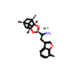 Cc1cccc2c(CC(N)B3O[C@@H]4C[C@@H]5C[C@@H](C5(C)C)[C@]4(C)O3)coc12.Cl